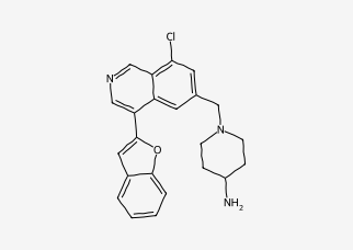 NC1CCN(Cc2cc(Cl)c3cncc(-c4cc5ccccc5o4)c3c2)CC1